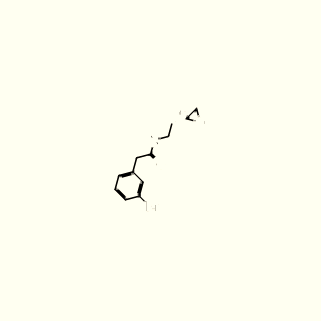 O=C(Cc1cccc(Br)c1)NCC[C@@H]1CO1